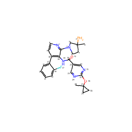 CC1(P)CCN(c2nccc(-c3ccccc3F)c2NC(=O)c2cnc(OC3(C)CC3)nc2)C1